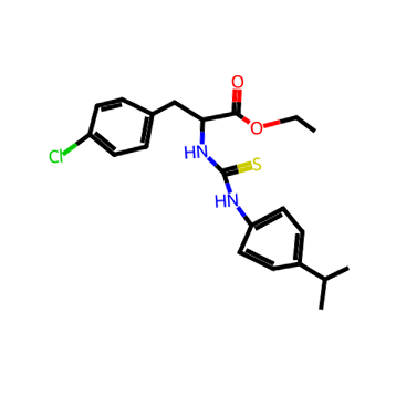 CCOC(=O)C(Cc1ccc(Cl)cc1)NC(=S)Nc1ccc(C(C)C)cc1